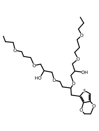 CCCOCCCOCC(O)COCCC(Cc1scc2c1OCCO2)OCC(O)COCCCOCCC